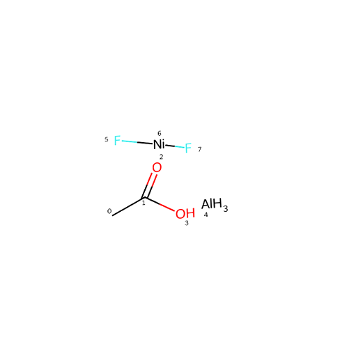 CC(=O)O.[AlH3].[F][Ni][F]